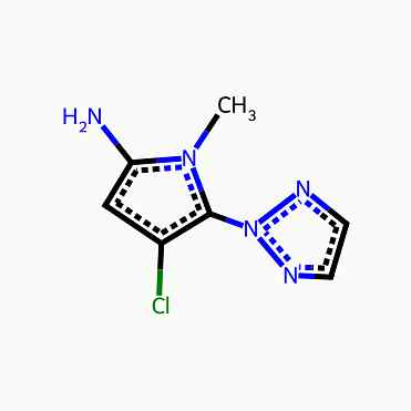 Cn1c(N)cc(Cl)c1-n1nccn1